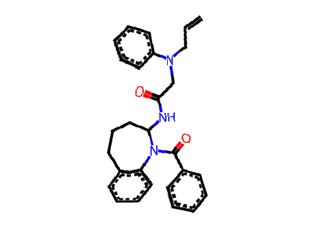 C=CCN(CC(=O)NC1CCCc2ccccc2N1C(=O)c1ccccc1)c1ccccc1